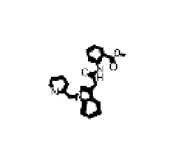 COC(=O)c1ccccc1NC(=O)Cc1cn(Cc2ccccn2)c2ccccc12